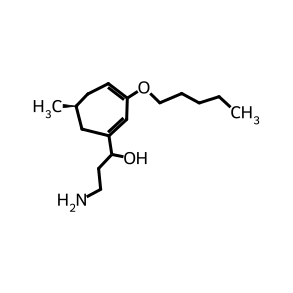 CCCCCOC1=CC[C@H](C)CC(C(O)CCN)=C1